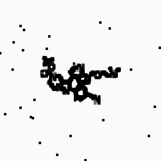 Cc1cn(COCC[Si](C)(C)C)c2nccc(-c3c(-c4ccc(C#N)cc4)nn4c3CN(C(=O)OC(C)(C)C)CC4)c12